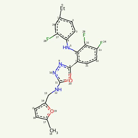 CCc1ccc(Nc2c(-c3nnc(NCc4ccc(C)o4)o3)ccc(F)c2F)c(F)c1